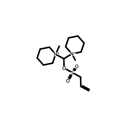 C=CCS(=O)(=O)OC([N+]1(C)CCCCC1)[N+]1(C)CCCCC1